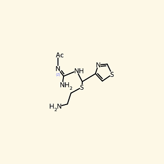 CC(=O)/N=C(/N)NC(SCCN)c1cscn1